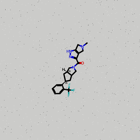 CN1Cc2[nH]nc(C(=O)N3CC4C[C@@H](c5ccccc5C(F)(F)F)C[C@H]4C3)c2C1